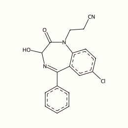 N#CCCN1C(=O)C(O)N=C(c2ccccc2)c2cc(Cl)ccc21